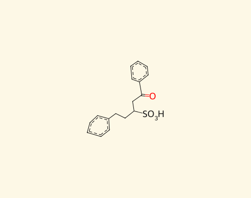 O=C(CC(CCc1ccccc1)S(=O)(=O)O)c1ccccc1